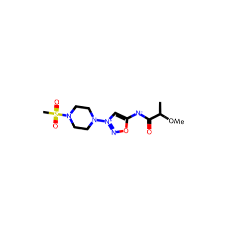 COC(C)C(=O)[N-]c1c[n+](N2CCN(S(C)(=O)=O)CC2)no1